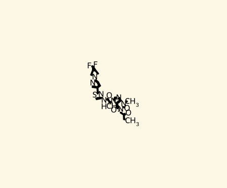 CCC(=O)Cn1c(=O)c2c(ncn2[C@@H](C)C(=O)Nc2csc(-c3ccc(N4CC5C(C4)C5(F)F)nc3)n2)n(C)c1=O